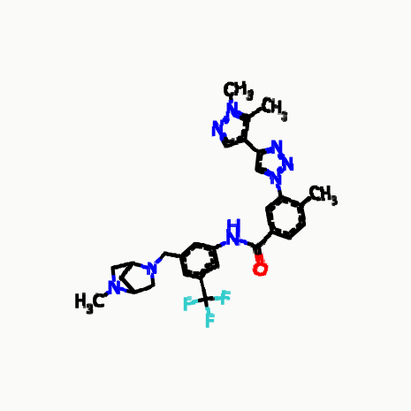 Cc1ccc(C(=O)Nc2cc(CN3CC4CC3CN4C)cc(C(F)(F)F)c2)cc1-n1cc(-c2cnn(C)c2C)nn1